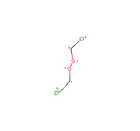 ClCOOCCl